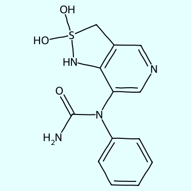 NC(=O)N(c1ccccc1)c1cncc2c1NS(O)(O)C2